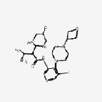 NC(N)C(C(=O)Nc1cncc(F)c1N1CCN(C2COC2)CC1)C1NCC(Cl)CN1